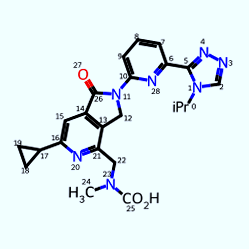 CC(C)n1cnnc1-c1cccc(N2Cc3c(cc(C4CC4)nc3CN(C)C(=O)O)C2=O)n1